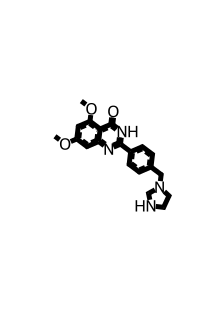 COc1cc(OC)c2c(=O)[nH]c(-c3ccc(CN4CCNC4)cc3)nc2c1